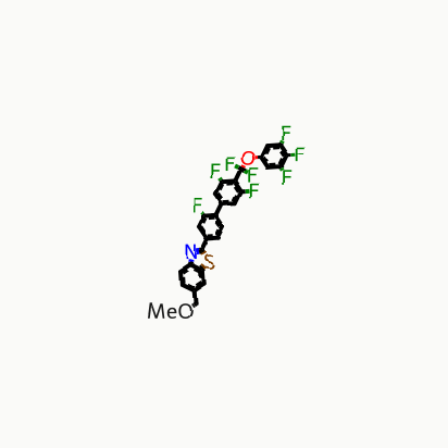 COCc1ccc2nc(-c3ccc(-c4cc(F)c(C(F)(F)Oc5cc(F)c(F)c(F)c5)c(F)c4)c(F)c3)sc2c1